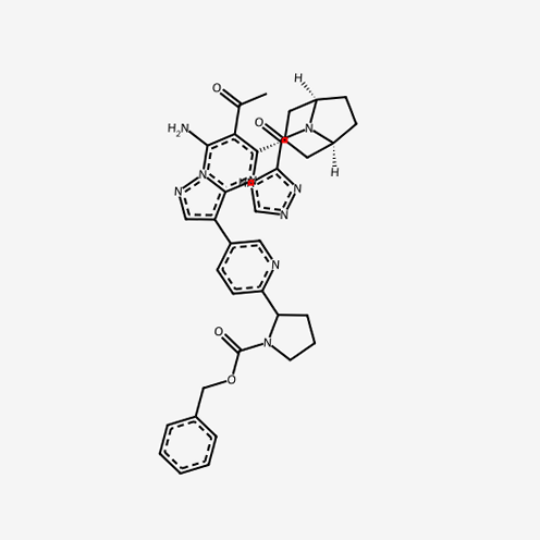 CC(=O)c1c([C@@H]2C[C@H]3CC[C@@H](C2)N3C(=O)c2nnc[nH]2)nc2c(-c3ccc(C4CCCN4C(=O)OCc4ccccc4)nc3)cnn2c1N